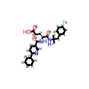 CC(C)(Cc1ccc(F)cc1)NC(=O)[C@H](CCC(=O)O)NC(=O)c1ccc(-c2ccccc2)nc1